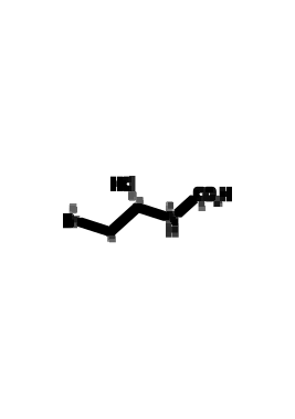 Cl.O=C(O)NCCBr